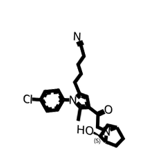 Cc1c(C(=O)CN2C3CCC2[C@@H](O)C3)cc(CCCCC#N)n1-c1ccc(Cl)cc1